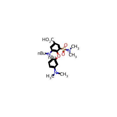 CCCCN(CCCC)c1cc(C(=O)O)cc(S(=O)(=O)N(C)C)c1Oc1cccc(N(C)C)c1